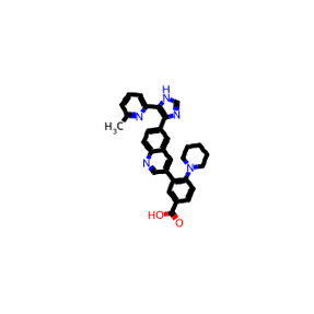 Cc1cccc(-c2[nH]cnc2-c2ccc3ncc(-c4cc(C(=O)O)ccc4N4CCCCC4)cc3c2)n1